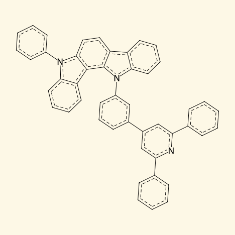 c1ccc(-c2cc(-c3cccc(-n4c5ccccc5c5ccc6c(c7ccccc7n6-c6ccccc6)c54)c3)cc(-c3ccccc3)n2)cc1